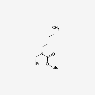 C=CCCCN(CC(C)C)C(=O)OC(C)(C)C